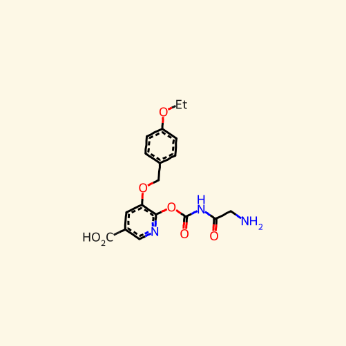 CCOc1ccc(COc2cc(C(=O)O)cnc2OC(=O)NC(=O)CN)cc1